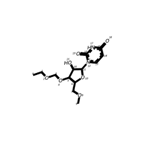 CCOCOC1C(COC)OC(n2ccc(=O)[nH]c2=O)C1O